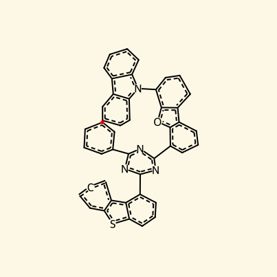 c1ccc(-c2nc(-c3cccc4c3oc3c(-n5c6ccccc6c6ccccc65)cccc34)nc(-c3cccc4sc5ccccc5c34)n2)cc1